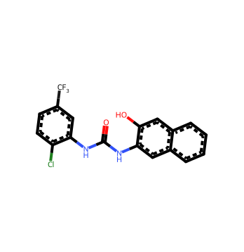 O=C(Nc1cc2ccccc2cc1O)Nc1cc(C(F)(F)F)ccc1Cl